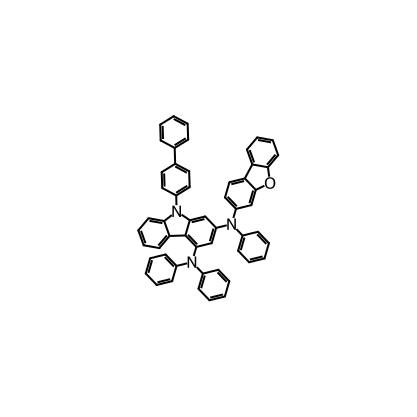 c1ccc(-c2ccc(-n3c4ccccc4c4c(N(c5ccccc5)c5ccccc5)cc(N(c5ccccc5)c5ccc6c(c5)oc5ccccc56)cc43)cc2)cc1